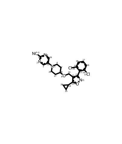 N#Cc1ncc(N2CCC(OCc3c(-c4c(Cl)cccc4Cl)noc3C3CC3)CC2)cn1